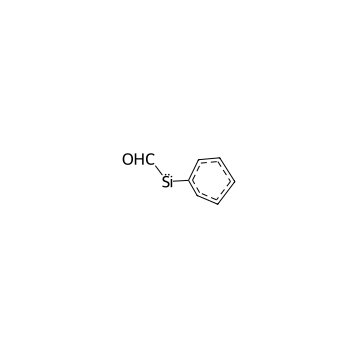 O=C[Si]c1ccccc1